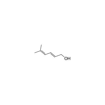 CC(C)=C/C=C/CO